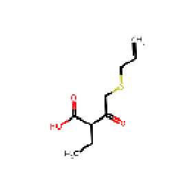 C=CCSCC(=O)C(CC)C(=O)O